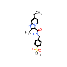 CCc1ccn2c(C(=O)NCc3ccc(S(C)(=O)=O)cc3)c(C)nc2c1